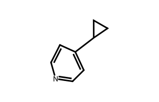 c1cc(C2CC2)ccn1